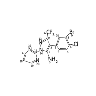 Nc1c(-c2ccc(Cl)c(Br)c2)c(C(F)(F)F)nn1-c1ncccn1